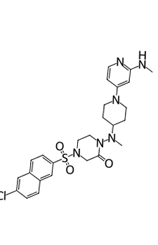 CNc1cc(N2CCC(N(C)N3CCN(S(=O)(=O)c4ccc5cc(Cl)ccc5c4)CC3=O)CC2)ccn1